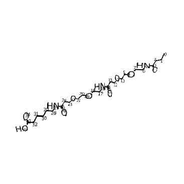 CCCC(=O)NCCOCCOCCC(=O)NCCOCCOCCC(=O)NCCCCCC(=O)O